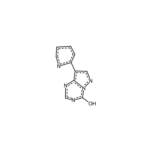 Oc1ncnc2c(-c3ccccn3)cnn12